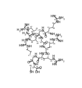 N=C(N)NCCC[C@H](NC(=O)[C@H](CCCNC(=N)N)NC(=O)[C@H](CCCNC(=N)N)NC(=O)[C@H](CCCNC(=N)N)NC(=O)[C@H](CCCNC(=N)N)NC(=O)[C@@H](N)CCCNC(=N)N)C(=O)N[C@@H](CS)C(=O)O